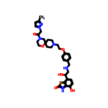 Cc1ccn(CC(=O)N2CCOC3(CCN(CCOc4ccc(CNCC(O)c5ccc(O)c6[nH]c(=O)sc56)cc4)CC3)C2)n1